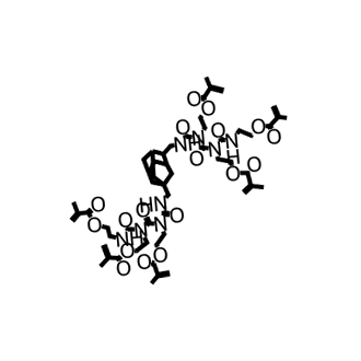 C=C(C)C(=O)OCCNC(=O)N(CCOC(=O)C(=C)C)C(=O)N(CCOC(=O)C(=C)C)C(=O)NCC1C2CC3CC1CC(CNC(=O)N(CCOC(=O)C(=C)C)C(=O)N(CCOC(=O)C(=C)C)C(=O)NCCOC(=O)C(=C)C)(C3)C2